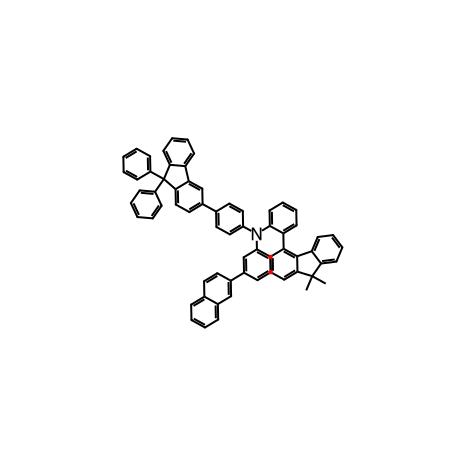 CC1(C)c2ccccc2-c2c(-c3ccccc3N(c3ccc(-c4ccc5c(c4)-c4ccccc4C5(c4ccccc4)c4ccccc4)cc3)c3cccc(-c4ccc5ccccc5c4)c3)cccc21